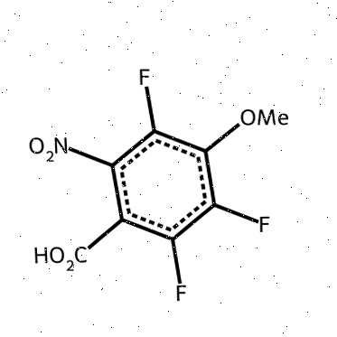 COc1c(F)c(F)c(C(=O)O)c([N+](=O)[O-])c1F